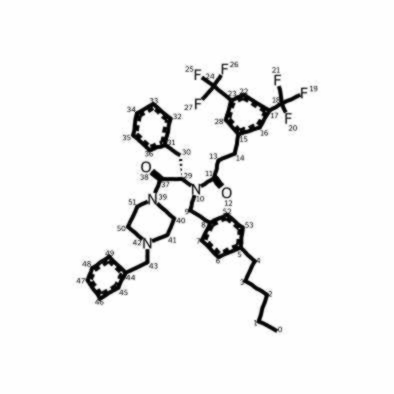 CCCCCc1ccc(CN(C(=O)CCc2cc(C(F)(F)F)cc(C(F)(F)F)c2)[C@@H](Cc2ccccc2)C(=O)N2CCN(Cc3ccccc3)CC2)cc1